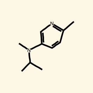 Cc1ccc(N(C)C(C)C)cn1